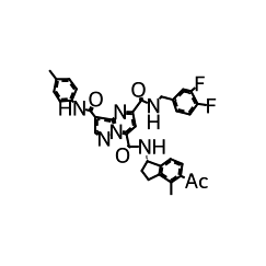 CC(=O)c1ccc2c(c1C)CC[C@@H]2NC(=O)c1cc(C(=O)NCc2ccc(F)c(F)c2)nc2c(C(=O)Nc3ccc(C)cc3)cnn12